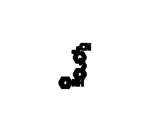 CC1(CC#N)CCN(Cc2ccc(Nc3ccccc3)cc2)CC1